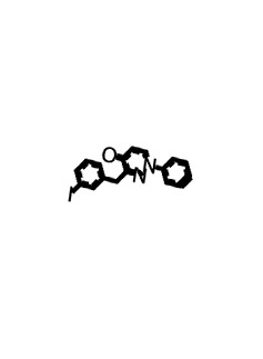 O=c1ccn(-c2cc#ccc2)nc1Cc1cccc(I)c1